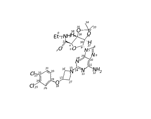 CCNC(=O)[C@@H]1O[C@@H](n2cnc3c(N)nc(N4CC(Oc5ccc(Cl)c(Cl)c5)C4)nc32)[C@@H]2OC(C)(C)O[C@H]21